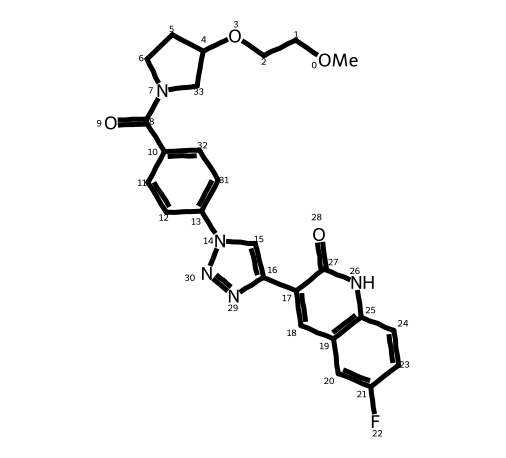 COCCOC1CCN(C(=O)c2ccc(-n3cc(-c4cc5cc(F)ccc5[nH]c4=O)nn3)cc2)C1